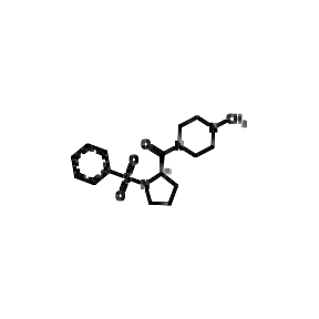 CN1CCN(C(=O)[C@H]2CCCN2S(=O)(=O)c2ccccc2)CC1